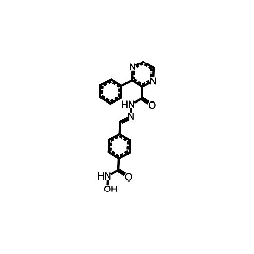 O=C(NO)c1ccc(/C=N/NC(=O)c2nccnc2-c2ccccc2)cc1